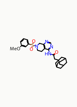 COc1cccc(S(=O)(=O)N2CCc3c(ncnc3NC(=O)CC34CC5CC(CC(C5)C3)C4)C2)c1